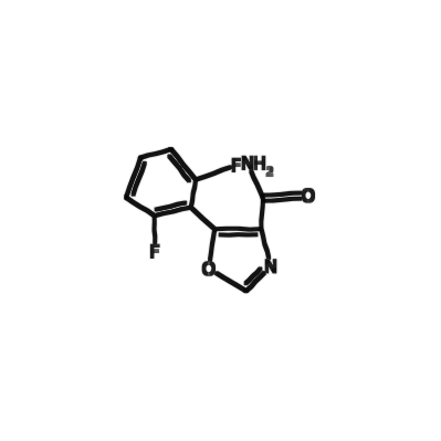 NC(=O)c1ncoc1-c1c(F)cccc1F